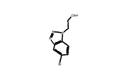 COCCn1nnc2cc(Br)ccc21